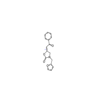 O=C(/C=C1\CN(Cc2ccco2)C(=O)O1)c1ccccc1